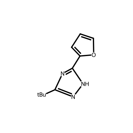 CC(C)(C)c1n[nH]c(-c2ccco2)n1